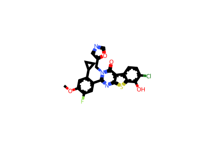 COc1cc(C2CC2)c(-c2nc3sc4c(O)c(Cl)ccc4c3c(=O)n2Cc2cnco2)cc1F